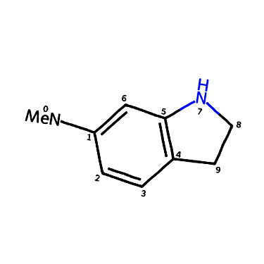 CNc1ccc2c(c1)NCC2